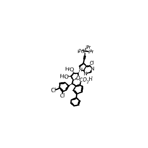 CC(C)[Si](C#Cc1cn([C@@H]2O[C@@H]([C@H](c3ccc(Cl)c(Cl)c3)c3cc(-c4ccccc4)ccc3C(=O)O)[C@@H](O)[C@H]2O)c2ncnc(Cl)c12)(C(C)C)C(C)C